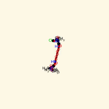 CCCC(C(=O)Nc1ccc(OCC(=O)NCCOCCOCCOCCOCCOCCNC(=O)c2ccc(-c3ccc4c(c3)[C@H](Nc3ccc(Cl)cc3)C[C@H](C)N4C(C)=O)cc2)cc1)N(C)C(=O)OC(C)(C)C